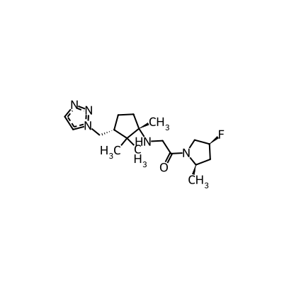 C[C@@H]1C[C@H](F)CN1C(=O)CN[C@@]1(C)CC[C@@H](Cn2ccnn2)C1(C)C